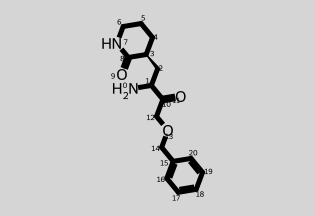 NC(C[C@@H]1CCCNC1=O)C(=O)COCc1ccccc1